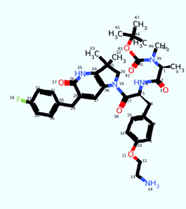 C[C@@H](C(=O)N[C@@H](Cc1ccc(OCCN)cc1)C(=O)N1CC(C)(C)c2[nH]c(=O)c(Cc3ccc(F)cc3)cc21)N(C)C(=O)OC(C)(C)C